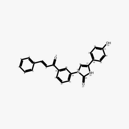 O=C(/C=C/c1ccccc1)c1cccc(-n2cc(-c3ccc(O)cc3)[nH]c2=O)c1